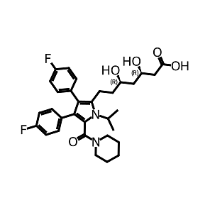 CC(C)n1c(CC[C@@H](O)C[C@@H](O)CC(=O)O)c(-c2ccc(F)cc2)c(-c2ccc(F)cc2)c1C(=O)N1CCCCC1